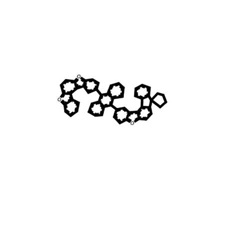 c1ccc2c(c1)-c1c(ccc3oc4ccc(-c5c6ccccc6c(-c6ccc7oc8ccc9oc%10ccccc%10c9c8c7c6)c6ccccc56)cc4c13)C21CCCC1